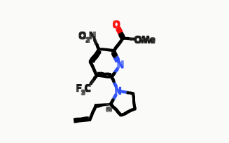 C=CC[C@@H]1CCCN1c1nc(C(=O)OC)c([N+](=O)[O-])cc1C(F)(F)F